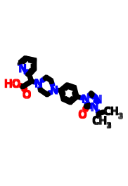 CC(C)n1ncn(-c2ccc(N3CCN(C(C(=O)O)c4ccccn4)CC3)cc2)c1=O